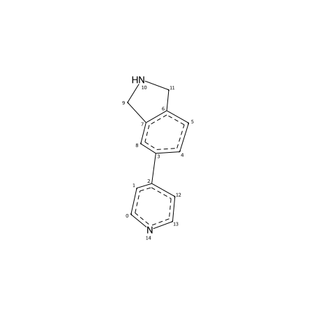 c1cc(-c2ccc3c(c2)CNC3)ccn1